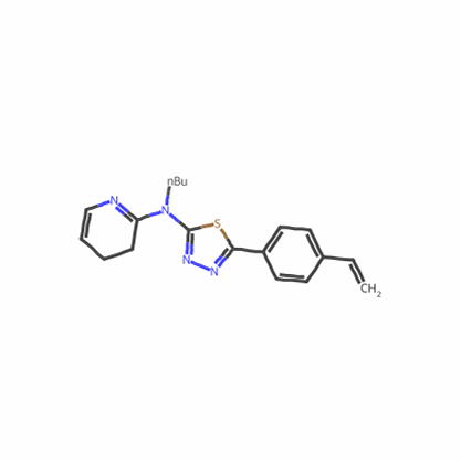 C=Cc1ccc(-c2nnc(N(CCCC)C3=NC=CCC3)s2)cc1